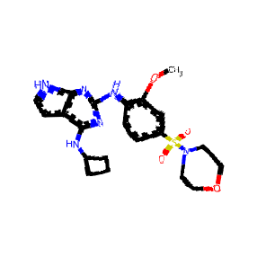 COc1cc(S(=O)(=O)N2CCOCC2)ccc1Nc1nc(NC2CCC2)c2cc[nH]c2n1